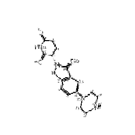 O=C1CC[C@H](N2Cc3ccc(N4CCNCC4)cc3C2=O)C(=O)N1